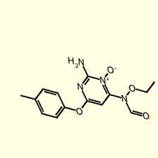 CCON(C=O)c1cc(Oc2ccc(C)cc2)nc(N)[n+]1[O-]